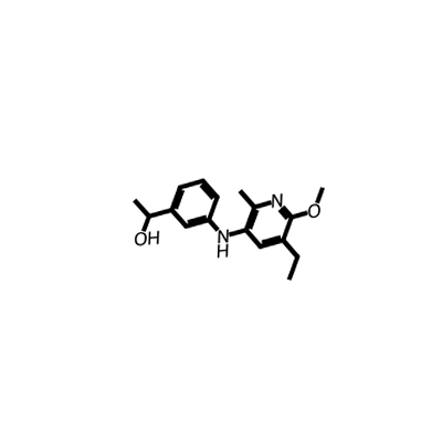 CCc1cc(Nc2cccc(C(C)O)c2)c(C)nc1OC